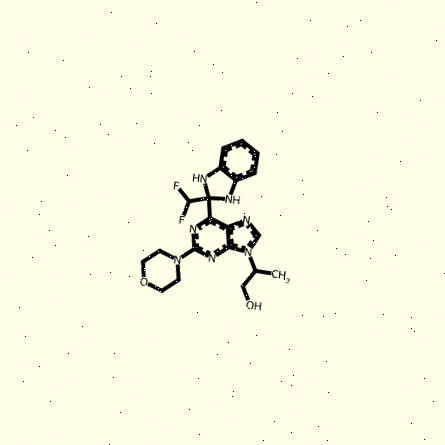 CC(CO)n1cnc2c(C3(C(F)F)Nc4ccccc4N3)nc(N3CCOCC3)nc21